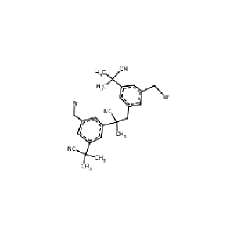 CC(C)(C#N)c1cc(CBr)cc(CC(C)(C#N)c2cc(CBr)cc(C(C)(C)C#N)c2)c1